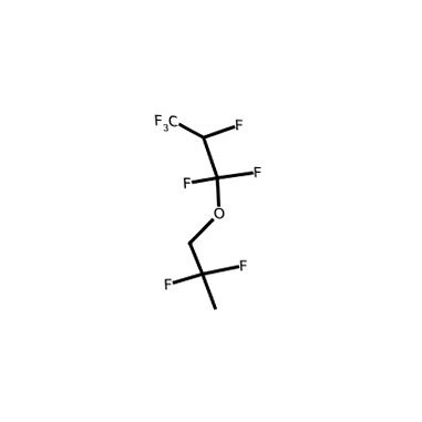 CC(F)(F)COC(F)(F)C(F)C(F)(F)F